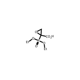 CCOP(=O)(OCC)C1(C(=O)O)CO1